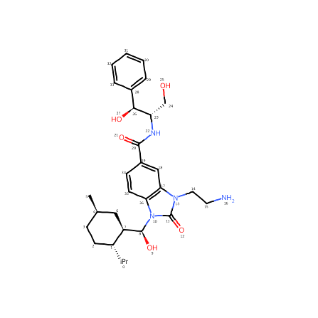 CC(C)[C@@H]1CC[C@@H](C)C[C@H]1[C@H](O)n1c(=O)n(CCN)c2cc(C(=O)N[C@@H](CO)[C@@H](O)c3ccccc3)ccc21